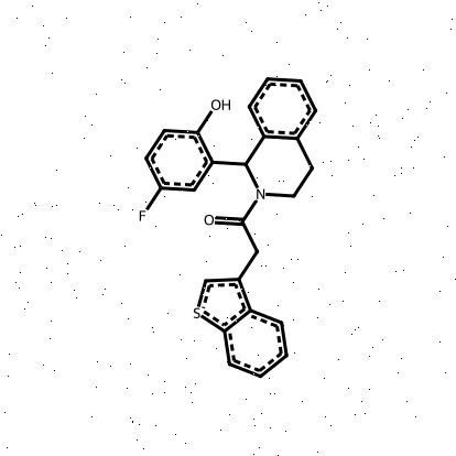 O=C(Cc1csc2ccccc12)N1CCc2ccccc2C1c1cc(F)ccc1O